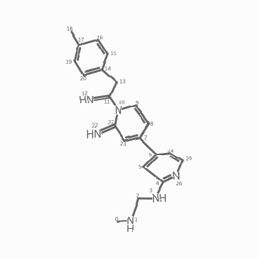 CNCNc1cc(-c2ccn(C(=N)Cc3ccc(C)cc3)c(=N)c2)ccn1